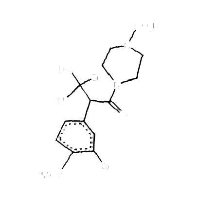 CCC(O)(CC)C(C(=O)N1CCN(C(=O)O)CC1)c1ccc(OC)c(Br)c1